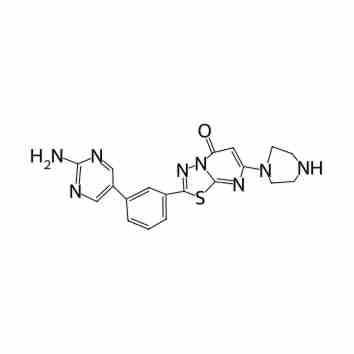 Nc1ncc(-c2cccc(-c3nn4c(=O)cc(N5CCNCC5)nc4s3)c2)cn1